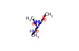 CCCNC(=O)CCN(CCCNCCC(=O)OCCC)CCC(=O)NCCC